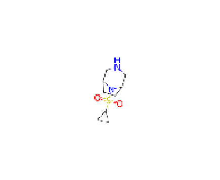 O=S(=O)(C1CC1)N1C2CCC1CNC2